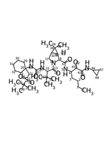 CCCCC(NC(=O)C1[C@H]2C(CN1C(=O)C(NC(=O)NC1(CS(=O)(=O)C(C)(C)C)CCCCC1)C(C)(C)C)C2(C)C)C(=O)C(=O)NC1CC1